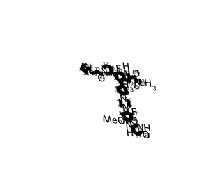 COc1cc(N2CCN(c3ccc(-c4cc(C5=CCCN(C(=O)CCn6cccn6)C5)c(F)c5[nH]c(C(=O)N(C)C)cc45)cc3)CC2)c(F)cc1N[C@@H]1CCC(=O)NC1=O